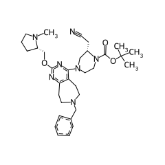 CN1CCC[C@H]1COc1nc2c(c(N3CCN(C(=O)OC(C)(C)C)[C@@H](CC#N)C3)n1)CCN(Cc1ccccc1)CC2